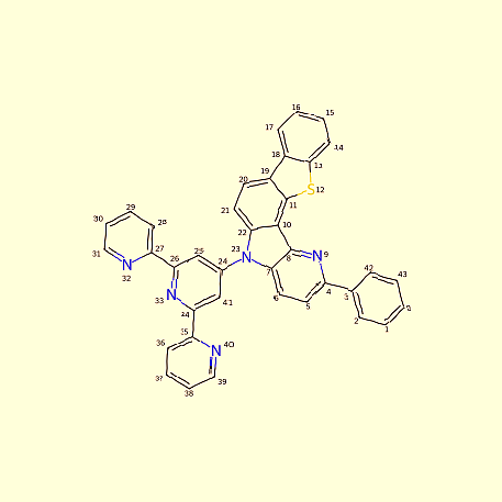 c1ccc(-c2ccc3c(n2)c2c4sc5ccccc5c4ccc2n3-c2cc(-c3ccccn3)nc(-c3ccccn3)c2)cc1